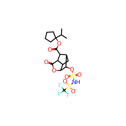 CC(C)C1(OC(=O)C2C3CC4C(OC(=O)C42)C3OS(=O)(=O)NS(=O)(=O)C(F)(F)F)CCCC1